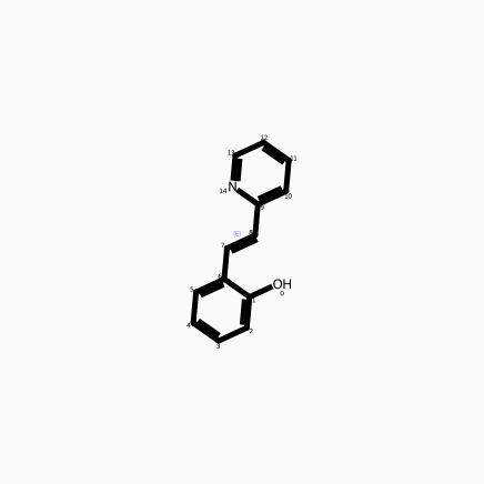 Oc1ccccc1/C=C/c1ccccn1